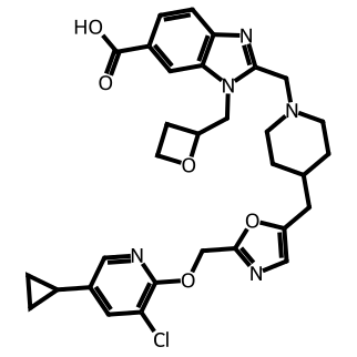 O=C(O)c1ccc2nc(CN3CCC(Cc4cnc(COc5ncc(C6CC6)cc5Cl)o4)CC3)n(CC3CCO3)c2c1